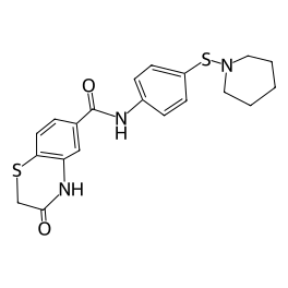 O=C1CSc2ccc(C(=O)Nc3ccc(SN4CCCCC4)cc3)cc2N1